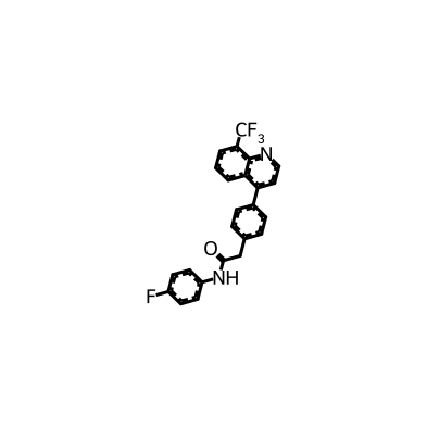 O=C(Cc1ccc(-c2ccnc3c(C(F)(F)F)cccc23)cc1)Nc1ccc(F)cc1